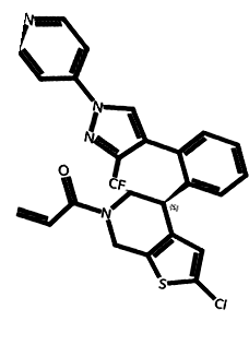 C=CC(=O)N1Cc2sc(Cl)cc2[C@H](c2ccccc2-c2cn(-c3ccncc3)nc2C(F)(F)F)C1